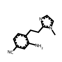 Cn1ccnc1CCc1ccc(C#N)cc1N